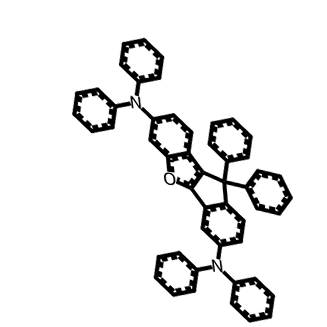 c1ccc(N(c2ccccc2)c2ccc3c(c2)-c2oc4cc(N(c5ccccc5)c5ccccc5)ccc4c2C3(c2ccccc2)c2ccccc2)cc1